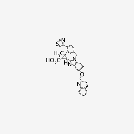 CC12c3cc(ccc3-c3cscn3)Cn3c(nc4cc(OCc5ccc6ccccc6n5)ccc43)[C@@H]1[C@@H]2C(=O)O